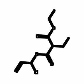 C=CC(Cl)OC(=O)C(CC)C(=O)OCC